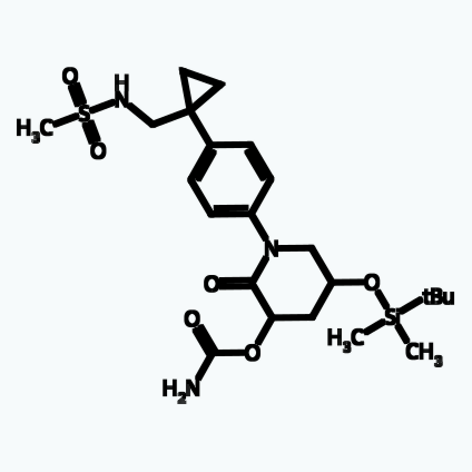 CC(C)(C)[Si](C)(C)OC1CC(OC(N)=O)C(=O)N(c2ccc(C3(CNS(C)(=O)=O)CC3)cc2)C1